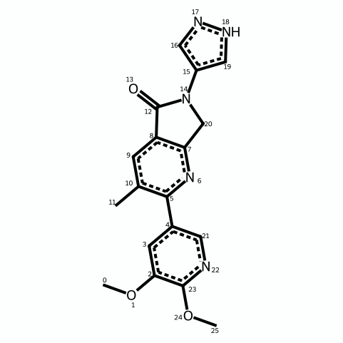 COc1cc(-c2nc3c(cc2C)C(=O)N(c2cn[nH]c2)C3)cnc1OC